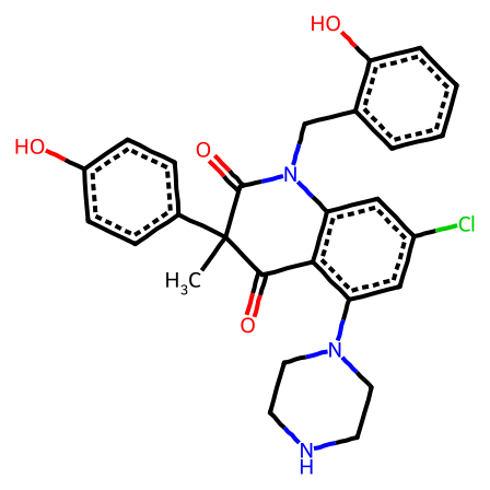 CC1(c2ccc(O)cc2)C(=O)c2c(N3CCNCC3)cc(Cl)cc2N(Cc2ccccc2O)C1=O